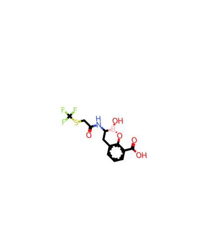 O=C(CSC(F)(F)F)NC1Cc2cccc(C(=O)O)c2OB1O